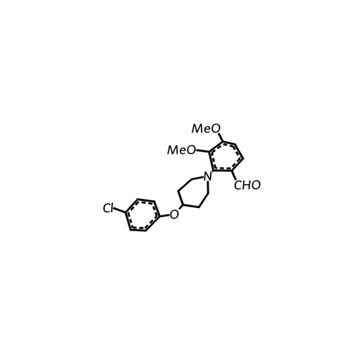 COc1ccc(C=O)c(N2CCC(Oc3ccc(Cl)cc3)CC2)c1OC